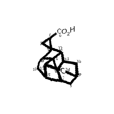 O=C(O)C1CC12C1CC3C4CC5CC3C2C(C5)C4C1